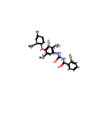 Cc1cc(Br)ccc1Oc1c(C)cc(NC(=O)NC(=O)c2ccccc2Cl)c(C)c1Cl